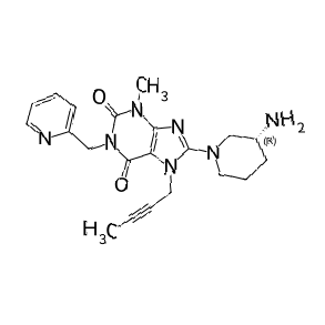 CC#CCn1c(N2CCC[C@@H](N)C2)nc2c1c(=O)n(Cc1ccccn1)c(=O)n2C